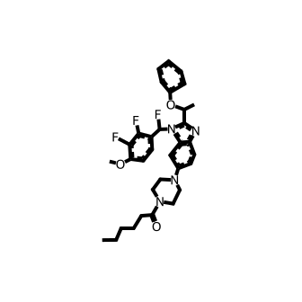 CCCCCC(=O)N1CCN(c2ccc3nc(C(C)Oc4ccccc4)n(C(F)c4ccc(OC)c(F)c4F)c3c2)CC1